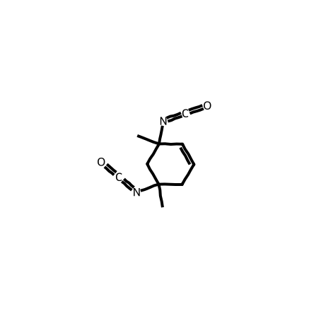 CC1(N=C=O)C=CCC(C)(N=C=O)C1